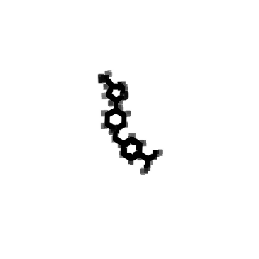 FC(F)c1ccc(CN2CCC([C@H]3CC(Br)=NO3)CC2)cc1